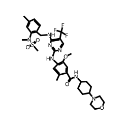 COc1cc(C(=O)NC2CCC(N3CCOCC3)CC2)c(C)cc1Nc1ncc(C(F)(F)F)c(NCc2ccc(C)cc2N(C)S(C)(=O)=O)n1